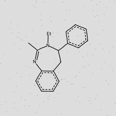 CCN1C(C)=Nc2ccccc2CC1c1ccccc1